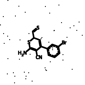 N#CC1=C(N)SC(C=S)C=C1c1cccc(Br)c1